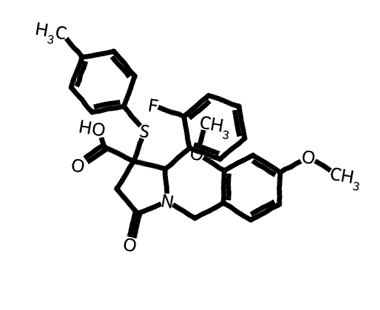 COc1ccc(CN2C(=O)CC(Sc3ccc(C)cc3)(C(=O)O)C2c2ccccc2F)c(OC)c1